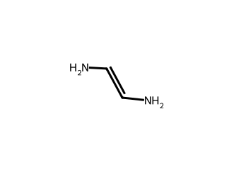 N/C=C/N